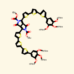 CCCCCCOc1cc(-c2ccc(-c3ccc(-c4ccc(C5=C6C(=O)N(C(=O)OC(C)(C)C)C(c7ccc(-c8ccc(-c9ccc(-c%10cc(OCCCCCC)c(OCCCCCC)c(OCCCCCC)c%10)s9)s8)s7)=C6C(=O)N5C(=O)OC(C)(C)C)s4)s3)s2)cc(OCCCCCC)c1OCCCCCC